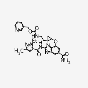 CCn1nc(C)cc1C(=O)Nc1nc2cc(C(N)=O)cc3c2n1[C@]1(CCNC(=O)OCc2cccnc2)CC1O3